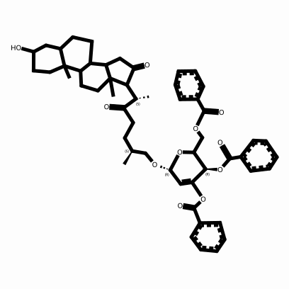 C[C@@H](CCC(=O)[C@@H](C)C1C(=O)CC2C3CCC4CC(O)CCC4(C)C3CCC21C)CO[C@H]1C=C(OC(=O)c2ccccc2)[C@H](OC(=O)c2ccccc2)C(COC(=O)c2ccccc2)O1